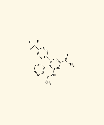 CC(Nc1nc(C(N)=O)cc(-c2ccc(C(F)(F)F)cc2)n1)c1ccccn1